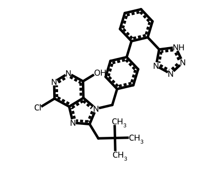 CC(C)(C)Cc1nc2c(Cl)nnc(O)c2n1Cc1ccc(-c2ccccc2-c2nnn[nH]2)cc1